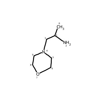 CC(N)CN1CCOCC1